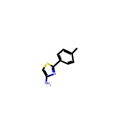 Cc1ccc(-c2nc(N)cs2)cc1